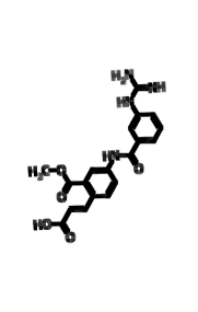 COC(=O)c1cc(NC(=O)c2cccc(NC(=N)N)c2)ccc1/C=C/C(=O)O